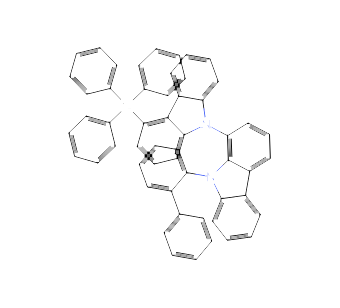 c1ccc(-c2ccccc2-n2c3ccccc3c3cccc(-n4c5ccccc5c5c([Si](c6ccccc6)(c6ccccc6)c6ccccc6)cccc54)c32)cc1